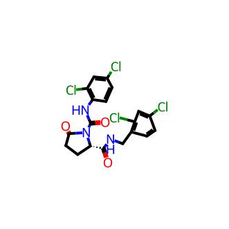 O=C(NCc1ccc(Cl)cc1Cl)[C@@H]1CCC(=O)N1C(=O)Nc1ccc(Cl)cc1Cl